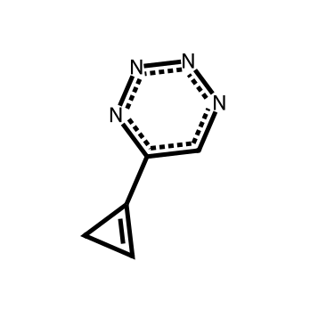 C1=C(c2cnnnn2)C1